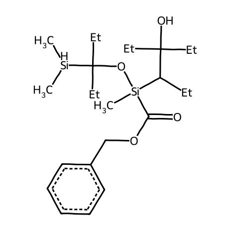 CCC(C(O)(CC)CC)[Si](C)(OC(CC)(CC)[SiH](C)C)C(=O)OCc1ccccc1